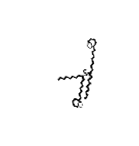 CCCCCCCCC(CCCCCCCC1CCCCO1)SC(CCCCCCCC)CCCCCCCC1CCCCO1